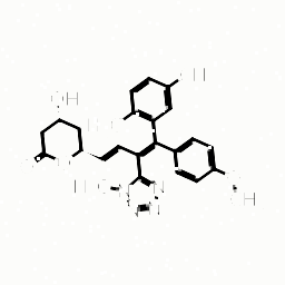 COc1ccc(C(=C(C=C[C@@H]2C[C@@H](O)CC(=O)O2)c2nnnn2C)c2cc(C)ccc2C)cc1